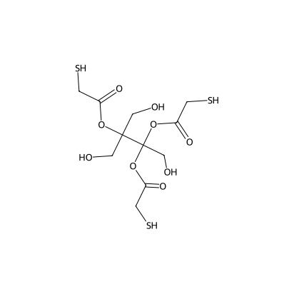 O=C(CS)OC(CO)(CO)C(CO)(OC(=O)CS)OC(=O)CS